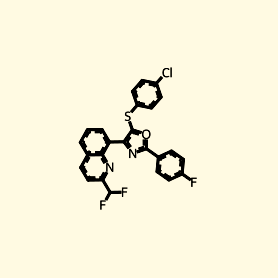 Fc1ccc(-c2nc(-c3cccc4ccc(C(F)F)nc34)c(Sc3ccc(Cl)cc3)o2)cc1